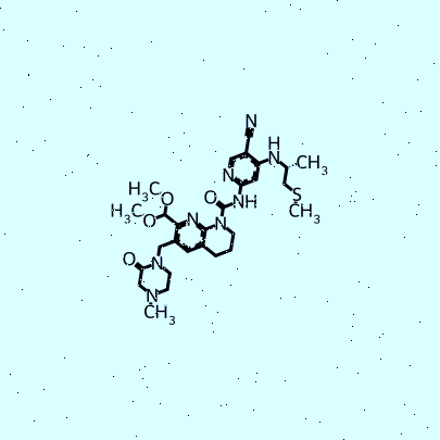 COC(OC)c1nc2c(cc1CN1CCN(C)CC1=O)CCCN2C(=O)Nc1cc(N[C@H](C)CSC)c(C#N)cn1